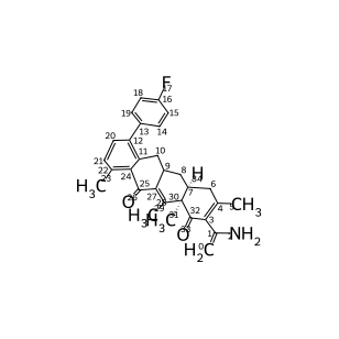 C=C(N)C1=C(C)C[C@@H]2CC3Cc4c(-c5ccc(F)cc5)ccc(C)c4C(=O)C3=C(C)[C@]2(C)C1=O